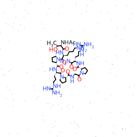 CC(=O)N[C@H](C(=O)N[C@@H](CCCCN)C(=O)N1CCC[C@H]1C(=O)N[C@@H](CCCNC(=N)N)C(=O)N1CCC[C@H]1C(=O)NCC(=O)N1CCC[C@H]1C(=O)N[C@@H](CCCNC(=N)N)C(N)=O)[C@@H](C)O